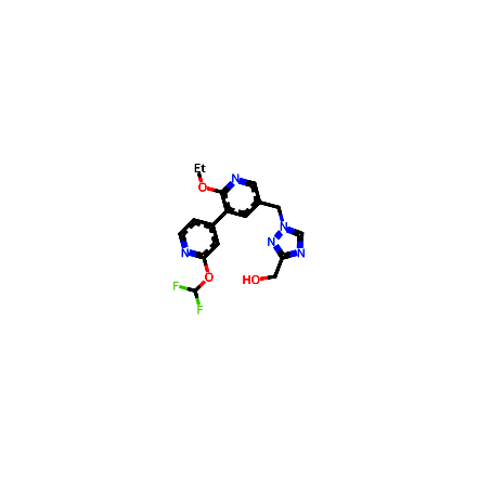 CCOc1ncc(Cn2cnc(CO)n2)cc1-c1ccnc(OC(F)F)c1